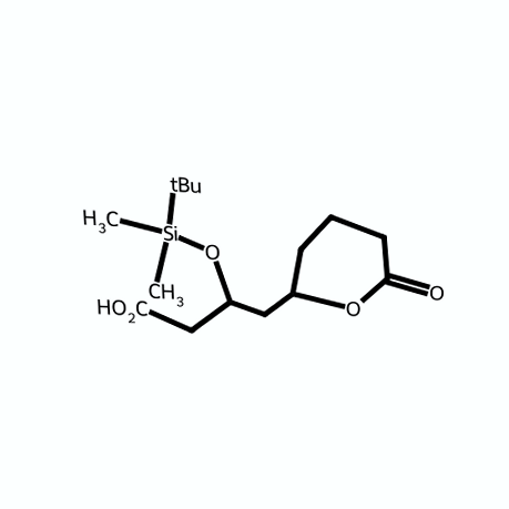 CC(C)(C)[Si](C)(C)OC(CC(=O)O)CC1CCCC(=O)O1